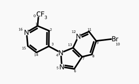 FC(F)(F)c1cc(-n2ncc3cc(Br)cnc32)ccn1